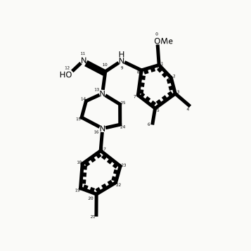 COc1cc(C)c(C)cc1NC(=NO)N1CCN(c2ccc(C)cc2)CC1